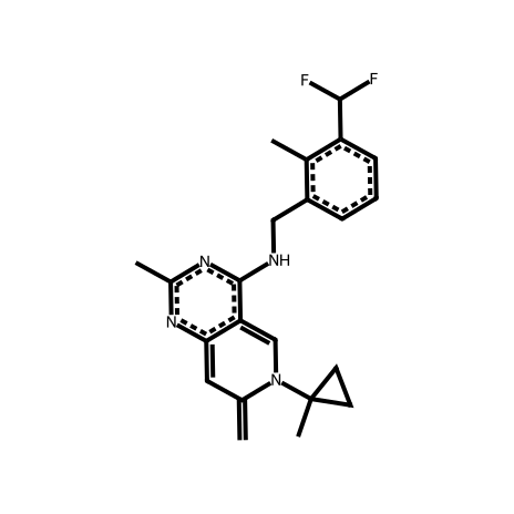 C=C1C=c2nc(C)nc(NCc3cccc(C(F)F)c3C)c2=CN1C1(C)CC1